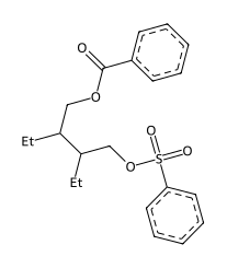 CCC(COC(=O)c1ccccc1)C(CC)COS(=O)(=O)c1ccccc1